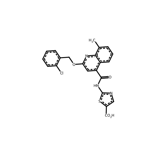 Cc1cccc2c(C(=O)Nc3ncc(C(=O)O)s3)cc(OCc3ccccc3Cl)nc12